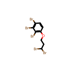 Brc1ccc(OCCC(Br)Br)c(Br)c1Br